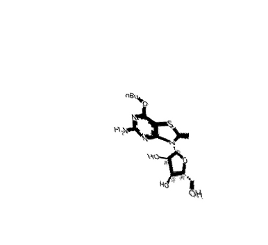 C=C1Sc2c(OCCCC)nc(N)nc2N1[C@@H]1O[C@H](CO)[C@@H](O)[C@H]1O